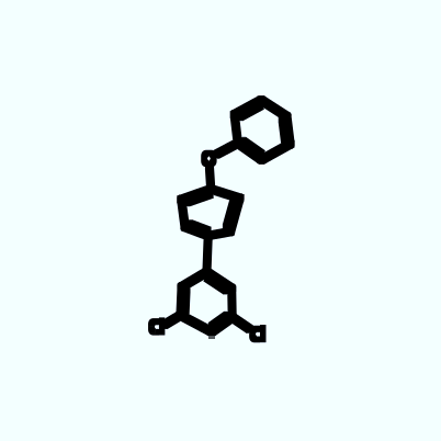 Clc1[c]c(Cl)cc(-c2ccc(Oc3ccccc3)cc2)c1